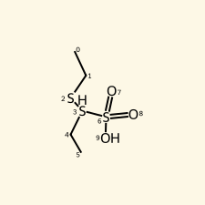 CCS[SH](CC)S(=O)(=O)O